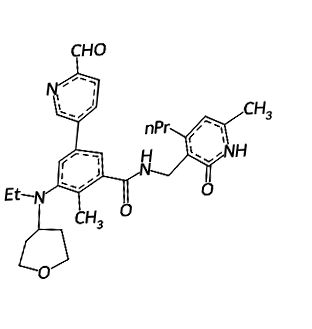 CCCc1cc(C)[nH]c(=O)c1CNC(=O)c1cc(-c2ccc(C=O)nc2)cc(N(CC)C2CCOCC2)c1C